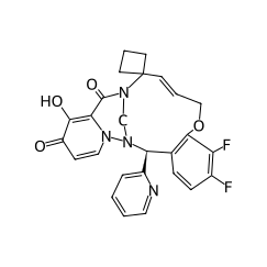 O=C1c2c(O)c(=O)ccn2N2CN1C1(/C=C/COc3c(ccc(F)c3F)[C@H]2c2ccccn2)CCC1